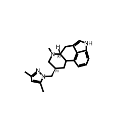 Cc1cc(C)n(C[C@@H]2CC3c4cccc5[nH]cc(c45)C[C@H]3N(C)C2)n1